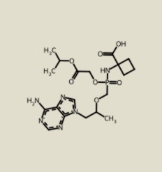 CC(C)OC(=O)COP(=O)(COC(C)Cn1cnc2c(N)ncnc21)NC1(C(=O)O)CCC1